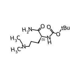 CN(C)CCC[C@H](NC(=O)OC(C)(C)C)C(N)=O